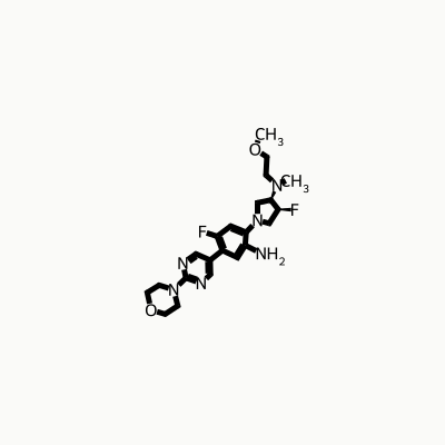 COCCN(C)[C@@H]1CN(c2cc(F)c(-c3cnc(N4CCOCC4)nc3)cc2N)C[C@@H]1F